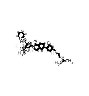 CC(C)OCCNCc1ccc(-c2ccc3c(=O)n(CC[C@](C)(C(=O)NOC4CCCCO4)S(C)(=O)=O)ccc3c2)c(F)c1